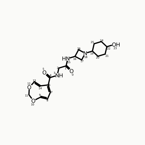 O=C(CNC(=O)C1=C/C=C/OCO\C=C\1)NC1CN(C2CCC(O)CC2)C1